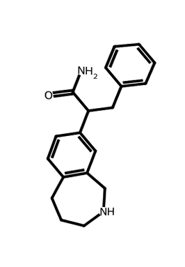 NC(=O)C(Cc1ccccc1)c1ccc2c(c1)CNCCC2